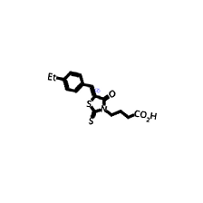 CCc1ccc(/C=C2\SC(=S)N(CCCC(=O)O)C2=O)cc1